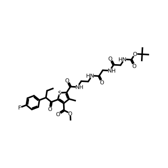 CCC(C(=O)c1sc(C(=O)NCCNC(=O)CNC(=O)CNC(=O)OC(C)(C)C)c(C)c1C(=O)OC)c1ccc(F)cc1